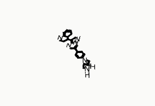 c1ccc2c(-c3cnn4cc(-c5ccc(N6C[C@H]7NCC76)cc5)cnc34)ccnc2c1